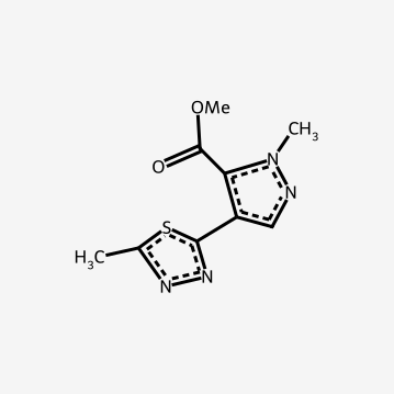 COC(=O)c1c(-c2nnc(C)s2)cnn1C